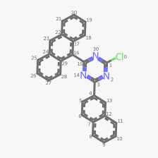 Clc1nc(-c2ccc3ccccc3c2)nc(-c2c3ccccc3cc3ccccc23)n1